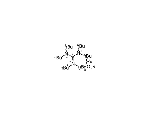 CCCCN(CCCC)C(N(CCCC)CCCC)=[N+](CCCC)CCCC.O=S(=O)([O-])O